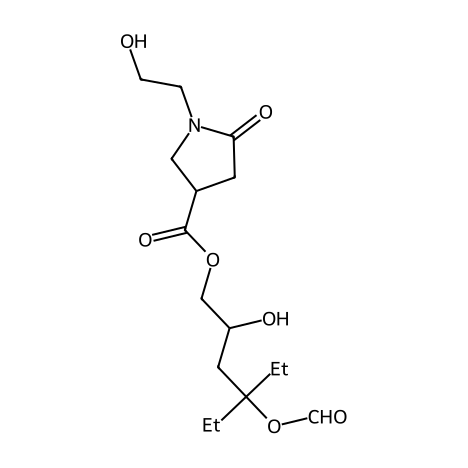 CCC(CC)(CC(O)COC(=O)C1CC(=O)N(CCO)C1)OC=O